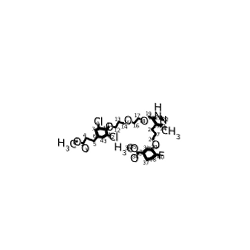 COC(=O)CCc1cc(Cl)c(OCCCOCCOCc2[nH]nc(C)c2CCCOc2cc(C(=O)OC)ccc2F)c(Cl)c1